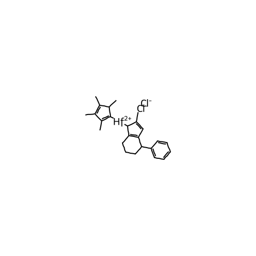 CC1=CC2=C(CCCC2c2ccccc2)[CH]1[Hf+2][C]1=C(C)C(C)=C(C)C1C.[Cl-].[Cl-]